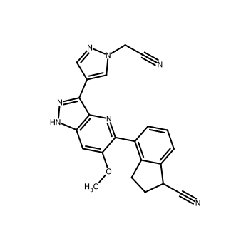 COc1cc2[nH]nc(-c3cnn(CC#N)c3)c2nc1-c1cccc2c1CCC2C#N